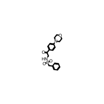 O=C(CNS(=O)(=O)Cc1ccccc1)c1ccc(N2CCOCC2)cc1